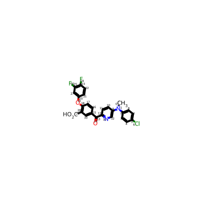 CN(c1ccc(Cl)cc1)c1ccc(C(=O)c2ccc(Oc3ccc(F)c(F)c3)c(C(=O)O)c2)nc1